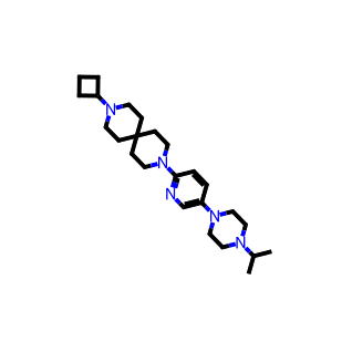 CC(C)N1CCN(c2ccc(N3CCC4(CC3)CCN(C3CCC3)CC4)nc2)CC1